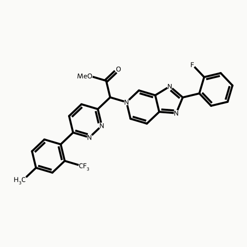 COC(=O)C(c1ccc(-c2ccc(C)cc2C(F)(F)F)nn1)n1ccc2nc(-c3ccccc3F)nc-2c1